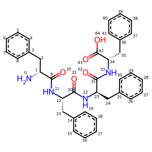 N[C@H](Cc1ccccc1)C(=O)N[C@@H](Cc1ccccc1)C(=O)N[C@H](Cc1ccccc1)C(=O)N[C@@H](Cc1ccccc1)C(=O)O